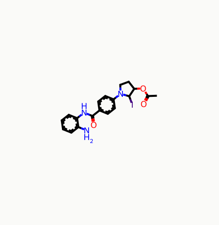 CC(=O)OC1CCN(c2ccc(C(=O)Nc3ccccc3N)cc2)C1I